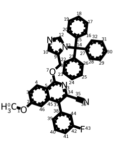 COc1ccc2c(OCc3cncn3C(c3ccccc3)(c3ccccc3)c3ccccc3)nc(C#N)c(-c3cccc(F)c3)c2c1